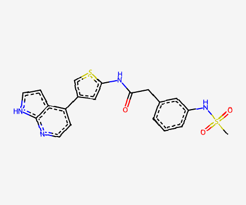 CS(=O)(=O)Nc1cccc(CC(=O)Nc2cc(-c3ccnc4[nH]ccc34)cs2)c1